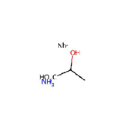 CC(O)C(=O)O.N.[Nb]